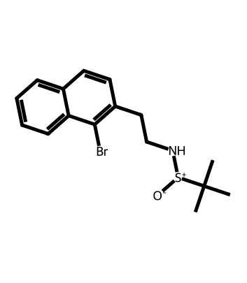 CC(C)(C)[S+]([O-])NCCc1ccc2ccccc2c1Br